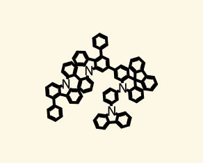 c1ccc(-c2cccc3c2c2ccccc2n3-c2ccccc2-c2ccccc2-n2c3ccccc3c3c(-c4ccccc4)cc(-c4ccc5c(c4)N(c4cccc(-n6c7ccccc7c7ccccc76)c4)c4ccccc4C54c5ccccc5-c5ccccc54)cc32)cc1